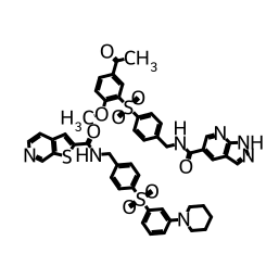 COc1ccc(C(C)=O)cc1S(=O)(=O)c1ccc(CNC(=O)c2cnc3[nH]ncc3c2)cc1.O=C(NCc1ccc(S(=O)(=O)c2cccc(N3CCCCC3)c2)cc1)c1cc2ccncc2s1